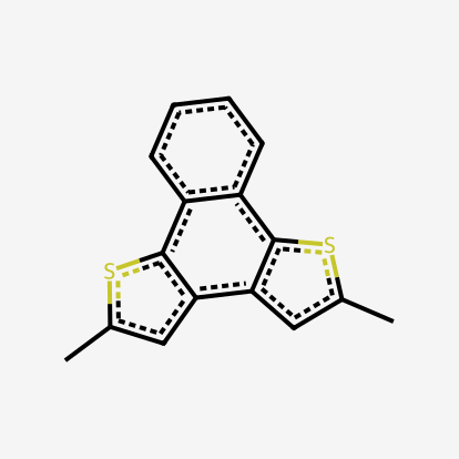 Cc1cc2c3cc(C)sc3c3ccccc3c2s1